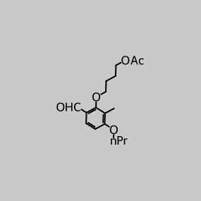 CCCOc1ccc(C=O)c(OCCCCOC(C)=O)c1C